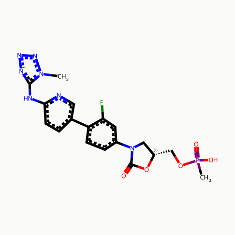 Cn1nnnc1Nc1ccc(-c2ccc(N3C[C@H](COP(C)(=O)O)OC3=O)cc2F)cn1